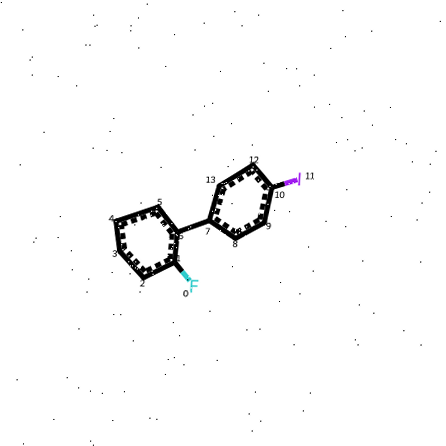 Fc1ccccc1-c1ccc(I)cc1